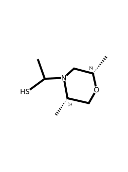 CC(S)N1C[C@H](C)OC[C@@H]1C